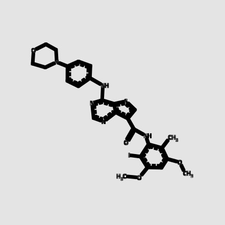 COc1cc(OC)c(I)c(NC(=O)c2csc3c(Nc4ccc(N5CCOCC5)cc4)ncnc23)c1C